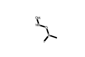 CN(I)ONO